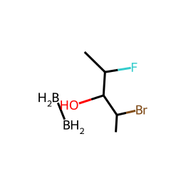 BB.CC(F)C(O)C(C)Br